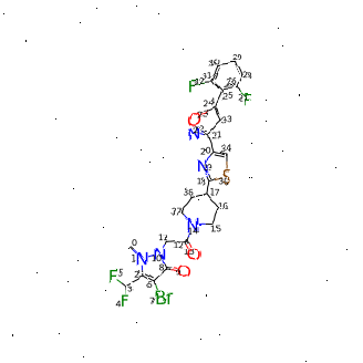 Cn1c(C(F)F)c(Br)c(=O)n1CC(=O)N1CCC(c2nc(C3=NOC(c4c(F)cccc4F)C3)cs2)CC1